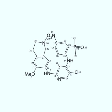 COc1cc2c(cc1Nc1ncc(Cl)c(Nc3ccc([N+](=O)[O-])cc3P(C)(C)=O)n1)CN(C)CC2